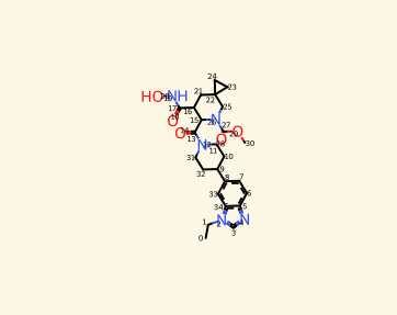 CCn1cnc2ccc(C3CCN(C(=O)C4C(C(=O)NO)CC5(CC5)CN4C(=O)OC)CC3)cc21